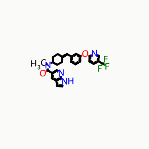 CN(C(=O)c1cnc2[nH]ccc2c1)C1CCC(=Cc2cccc(Oc3ccc(C(F)(F)F)cn3)c2)CC1